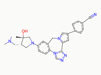 CN(C)C[C@H]1CN(c2ccc3c(c2)Cn2cc(-c4ccc(C#N)cc4)cc2-c2nncn2-3)C[C@@]1(C)O